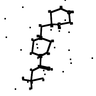 CC(C)(C)CC(=O)N1CCN(CC2CCOCC2)CC1